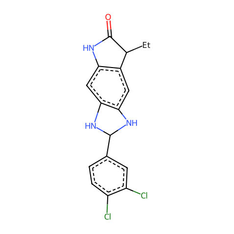 CCC1C(=O)Nc2cc3c(cc21)NC(c1ccc(Cl)c(Cl)c1)N3